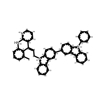 Cc1cccc2c1/C(=C\Cn1c3ccccc3c3cc(-c4ccc5c(c4)c4ccccc4n5-c4ccccc4)ccc31)c1cccnc1N2